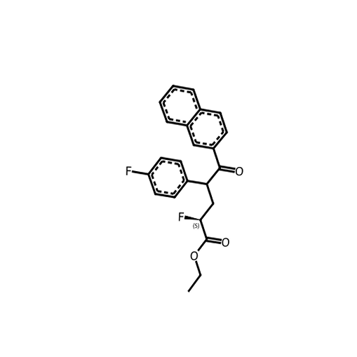 CCOC(=O)[C@@H](F)CC(C(=O)c1ccc2ccccc2c1)c1ccc(F)cc1